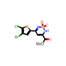 COC(=O)C1=CC(c2cc(Br)c(Cl)s2)=NS(=O)(=O)N1